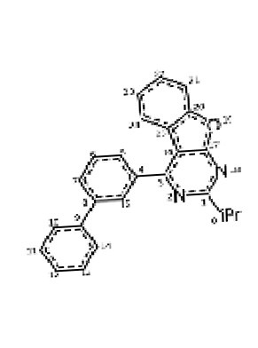 CC(C)c1nc(-c2cccc(-c3ccccc3)c2)c2c(n1)oc1ccccc12